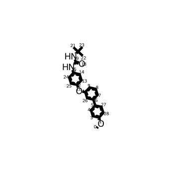 COc1ccc(-c2cccc(Oc3ccc(NC(=O)NC(C)(C)C)cc3)c2)cc1